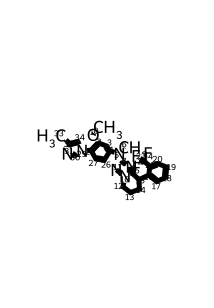 COc1cc(N(C)c2nc3n(n2)CCCC3c2ccccc2C(F)(F)F)ccc1-n1cnc(C)c1